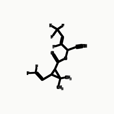 C#CC(OC(=O)C1C(C=C(F)F)C1(C)C)/C(F)=C/C(F)(F)F